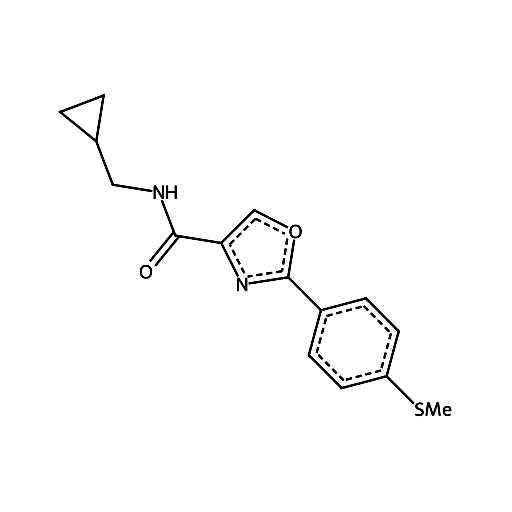 CSc1ccc(-c2nc(C(=O)NCC3CC3)co2)cc1